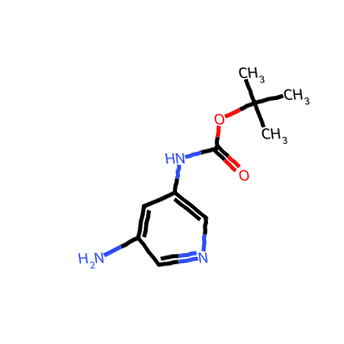 CC(C)(C)OC(=O)Nc1cncc(N)c1